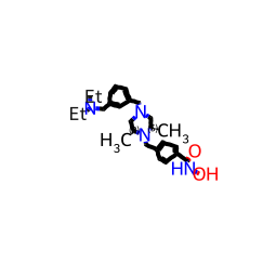 CCN(CC)Cc1cccc(CN2C[C@@H](C)N(Cc3ccc(C(=O)NO)cc3)[C@@H](C)C2)c1